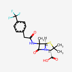 CC1(C)S[C@H]2N(C(=O)C2(C)NC(=O)Cc2ccc(C(F)(F)F)cc2)[C@H]1C(=O)O